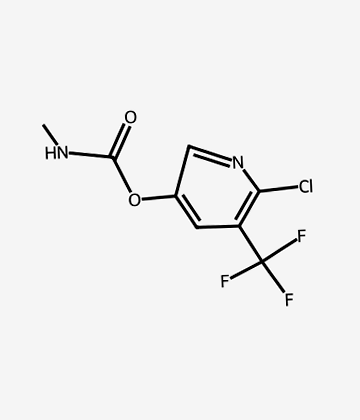 CNC(=O)Oc1cnc(Cl)c(C(F)(F)F)c1